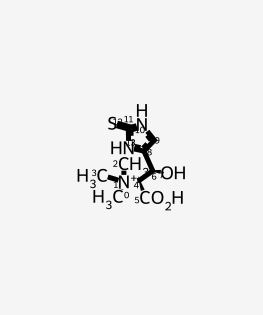 C[N+](C)(C)[C@H](C(=O)O)[C@H](O)c1c[nH]c(=S)[nH]1